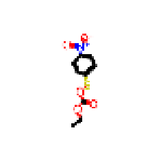 CCOC(=O)OSc1ccc([N+](=O)[O-])cc1